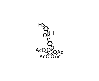 CC(=O)OCC1O[C@@H](Oc2ccc(COC(=O)Nc3ccc(S)cc3)cc2)[C@@H](OC(C)=O)C(OC(C)=O)[C@@H]1OC(C)=O